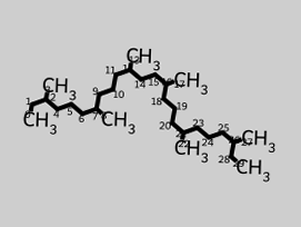 CCC(C)CCCC(C)CCCC(C)CCC(C)CCCC(C)CCCC(C)CC